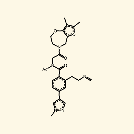 C=NCCc1cc(-c2cnn(C)c2)ccc1C(=O)N(CC(=O)N1CCOc2c(sc(C)c2C)C1)C(C)=O